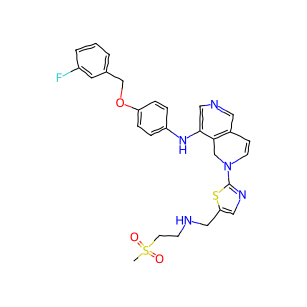 CS(=O)(=O)CCNCc1cnc(N2C=Cc3cncc(Nc4ccc(OCc5cccc(F)c5)cc4)c3C2)s1